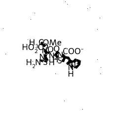 COC(C)(O/N=C(\C(=O)N[C@@H]1C(=O)N2C(C(=O)[O-])=C(Cc3c[nH][n+]4ccccc34)CS[C@H]12)c1csc(N)n1)C(=O)O